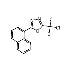 ClC(Cl)(Cl)c1nnc(-c2cccc3ccccc23)o1